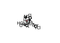 Cc1cc(N2C[C@@H](C)n3c(c(CCCOc4cc(C)c(Cl)c(C)c4)c4ccc(Cl)c(-c5c(C)nn(C)c5C)c43)C2=O)c2[nH]c(C(=O)O)cc2c1